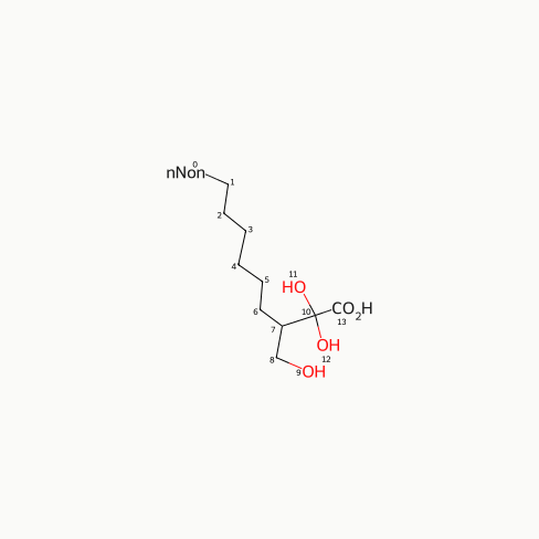 CCCCCCCCCCCCCCCC(CO)C(O)(O)C(=O)O